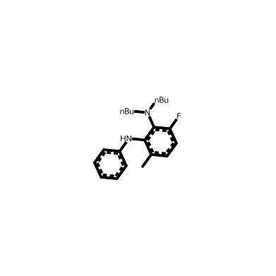 CCCCN(CCCC)c1c(F)ccc(C)c1Nc1ccccc1